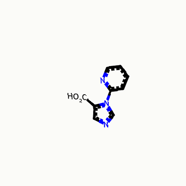 O=C(O)c1cncn1-c1ccccn1